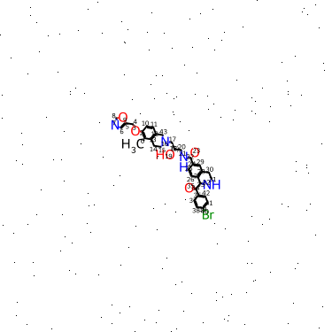 Cc1c(OCc2cnco2)ccc2c1CCN(C[C@@H](O)CNC(=O)c1ccc3c(c1)CCNC3C(=O)c1ccc(Br)cc1)C2